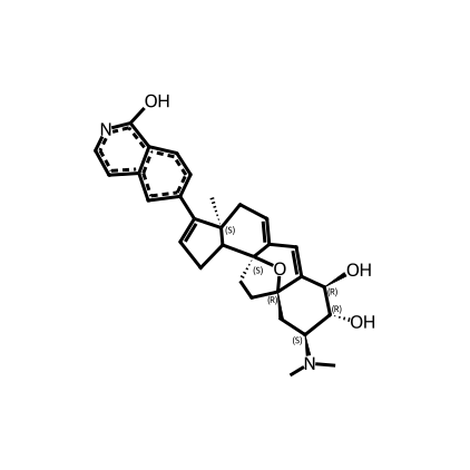 CN(C)[C@H]1C[C@@]23CC[C@@]4(O2)C(=CC[C@]2(C)C(c5ccc6c(O)nccc6c5)=CCC24)C=C3[C@@H](O)[C@@H]1O